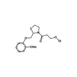 CCOCCC(=O)N1CCSC1COc1ccccc1OC